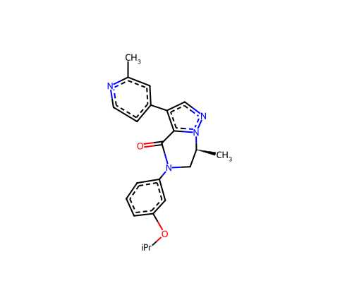 Cc1cc(-c2cnn3c2C(=O)N(c2cccc(OC(C)C)c2)C[C@@H]3C)ccn1